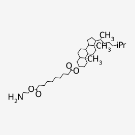 CC(C)CCC[C@@H](C)C1CCC2C3CCC4C[C@@H](OC(=O)CCCCCCCCC(=O)OCCN)CC[C@]4(C)C3CC[C@@]21C